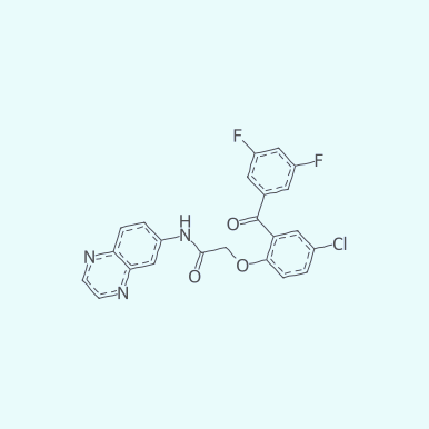 O=C(COc1ccc(Cl)cc1C(=O)c1cc(F)cc(F)c1)Nc1ccc2nccnc2c1